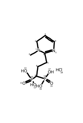 CN1CC=CN=C1CCC(P(=O)(O)O)P(=O)(O)O.Cl